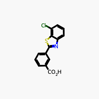 O=C(O)c1cccc(-c2nc3cccc(Cl)c3s2)c1